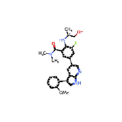 COc1ccccc1-c1c[nH]c2ncc(-c3cc(F)c(N[C@@H](C)CO)c(C(=O)N(C)C)c3)cc12